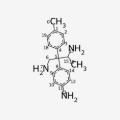 Cc1ccc(C(CN)(c2ccc(N)cc2)C(C)N)cc1